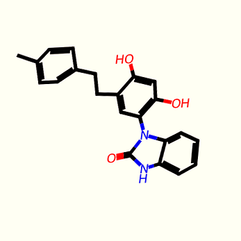 Cc1ccc(CCc2cc(-n3c(=O)[nH]c4ccccc43)c(O)cc2O)cc1